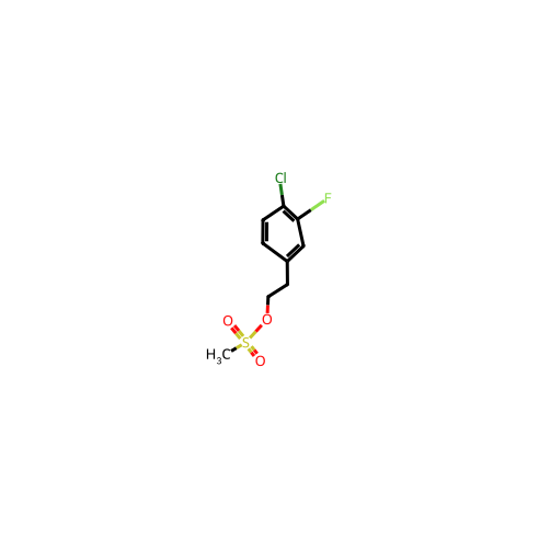 CS(=O)(=O)OCCc1ccc(Cl)c(F)c1